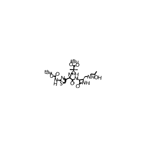 CC(O)CNC[C@H]1NC(=O)[C@H]1NC(=O)C(=NOC(C)(C)C(=O)OC(C)(C)C)c1csc(NC(=O)OC(C)(C)C)n1